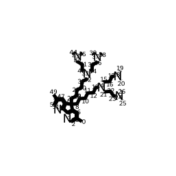 Cc1cnc2c(c1)C(CCCCCCN(CCCN(C)C)CCCN(C)C)(CCCCCCN(CCCN(C)C)CCCN(C)C)c1cc(C)cnc1-2